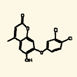 Cc1cc(=O)oc2cc(Oc3ccc(Cl)c(Cl)c3)c(O)cc12